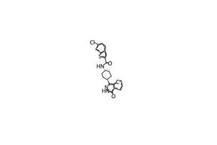 O=C(N[C@H]1CC[C@H](c2n[nH]c(=O)c3ccccc32)CC1)c1cc2ccc(Cl)cc2s1